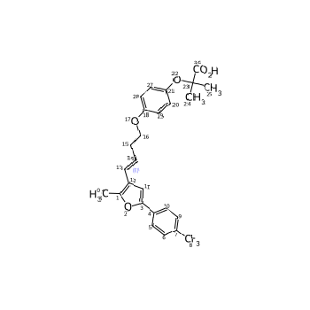 Cc1oc(-c2ccc(C(F)(F)F)cc2)cc1/C=C/CCOc1ccc(OC(C)(C)C(=O)O)cc1